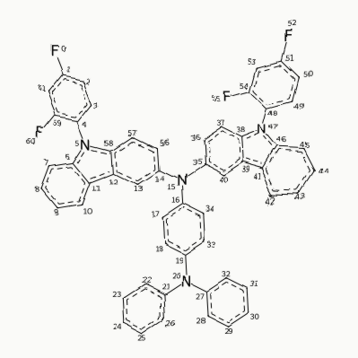 Fc1ccc(-n2c3ccccc3c3cc(N(c4ccc(N(c5ccccc5)c5ccccc5)cc4)c4ccc5c(c4)c4ccccc4n5-c4ccc(F)cc4F)ccc32)c(F)c1